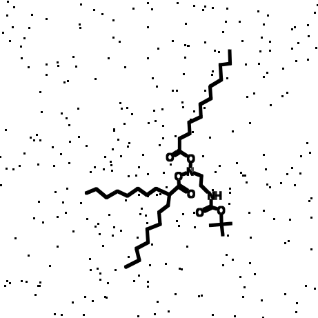 CCCCCCCCCCCC(=O)ON(CCNC(=O)OC(C)(C)C)OC(=O)C(CCCCCCCC)CCCCCCCC